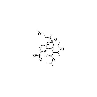 COCCN(C)S(=O)(=O)C1=C(C)NC(C)=C(C(=O)OC(C)C)C1c1cccc([N+](=O)[O-])c1